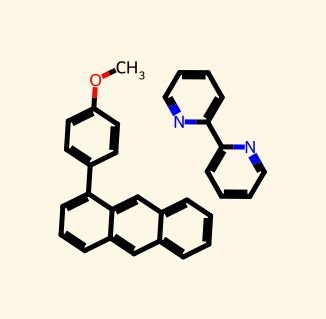 COc1ccc(-c2cccc3cc4ccccc4cc23)cc1.c1ccc(-c2ccccn2)nc1